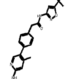 Cc1cc(N)ncc1-c1ccc(CC(=O)Nc2cc(C(C)(C)C)on2)cc1